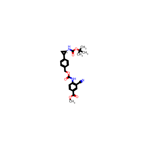 COC(=O)c1ccc(NC(=O)OCc2ccc(C3C[C@@H]3NC(=O)OC(C)(C)C)cc2)c(C#N)c1